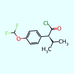 CC(C)[C@H](C(=O)Cl)c1ccc(OC(F)F)cc1